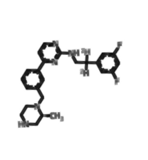 [2H]C([2H])(CNc1nccc(-c2cccc(CN3CCNC[C@@H]3C)c2)n1)c1cc(F)cc(F)c1